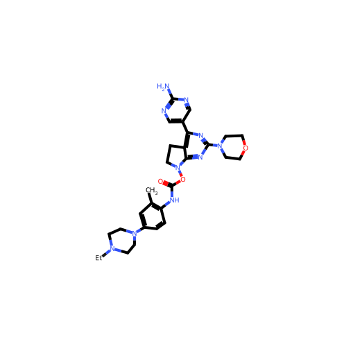 CCN1CCN(c2ccc(NC(=O)ON3CCc4c(-c5cnc(N)nc5)nc(N5CCOCC5)nc43)c(C)c2)CC1